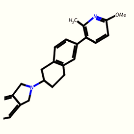 COc1ccc(-c2ccc3c(c2)CCC(N2Cc4ccccc4C2)C3)c(C)n1